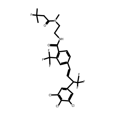 CN(CCNC(=O)c1ccc(/C=C/C(c2cc(Cl)c(Cl)c(Cl)c2)C(F)(F)F)cc1C(F)(F)F)C(=O)CC(C)(C)F